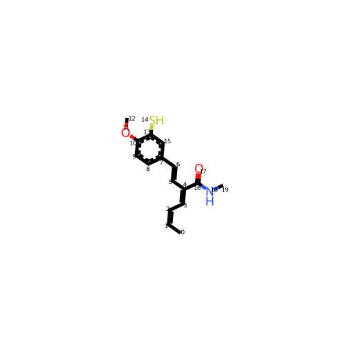 C\C=C/C=C(\C=C\c1ccc(OC)c(S)c1)C(=O)NC